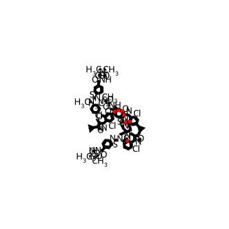 CN(c1nc2ccc(C(=O)NS(=O)(=O)N(C)C)cc2s1)C1CCC(OCc2c(-c3c(Cl)cc(C4CC4c4onc(-c5c(Cl)cc(C6CC6c6onc(-c7c(Cl)cccc7Cl)c6CN6CCN(c7nc8ccc(C(=O)NS(=O)(=O)N(C)C)cc8s7)CC6)cc5Cl)c4CN4CC5CCC(C4)N5c4nc5ccc(C(=O)NS(=O)(=O)N(C)C)cc5s4)cc3Cl)noc2C2CC2)CC1